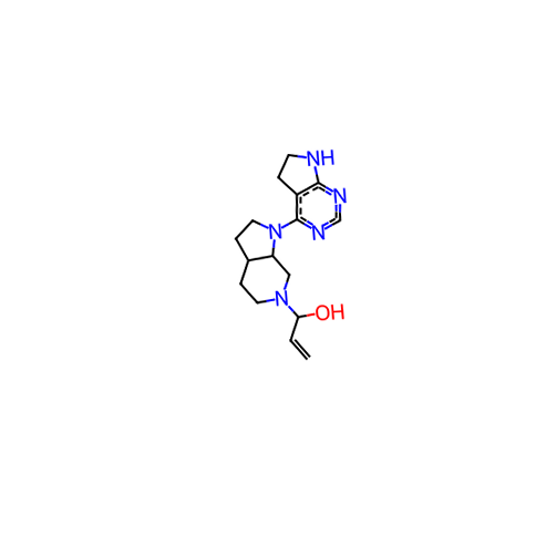 C=CC(O)N1CCC2CCN(c3ncnc4c3CCN4)C2C1